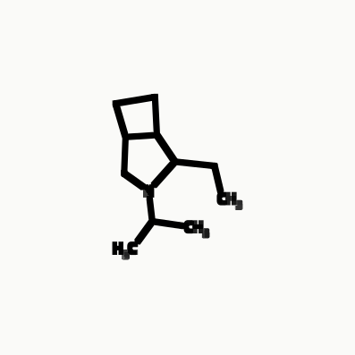 CCC1C2CCC2CN1C(C)C